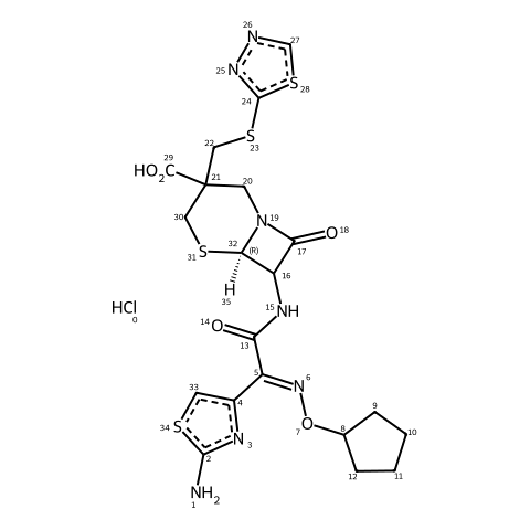 Cl.Nc1nc(C(=NOC2CCCC2)C(=O)NC2C(=O)N3CC(CSc4nncs4)(C(=O)O)CS[C@H]23)cs1